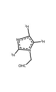 [2H]c1nc([2H])n(CC=O)c1[2H]